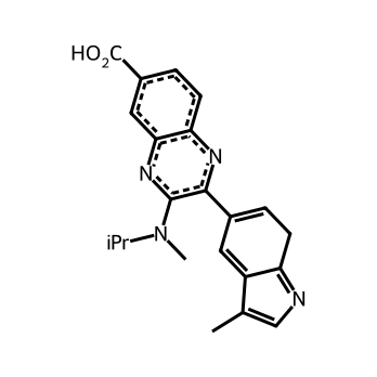 CC1=CN=C2CC=C(c3nc4ccc(C(=O)O)cc4nc3N(C)C(C)C)C=C12